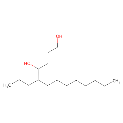 [CH2]CCC(CCCCCCCC)C(O)CCCO